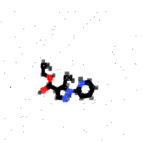 CCOC(=O)c1cnn(-c2ccccn2)c1C